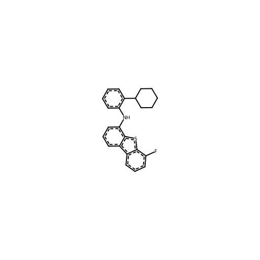 Fc1cccc2c1sc1c(Nc3ccccc3C3CCCCC3)cccc12